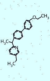 CCOc1ccc(-c2ccc(C(C)c3ccc(CC)cn3)cc2)cc1